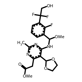 COC(=O)Cc1nc(C)nc(NC(OC)c2cccc(C(F)(F)CO)c2F)c1C1OCCO1